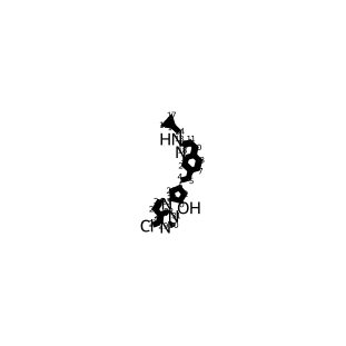 O[C@@H]1C[C@@H](CCc2ccc3ccc(NCC4CC4)nc3c2)C[C@H]1n1ccc2c(Cl)ncnc21